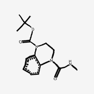 CNC(=O)N1CCN(C(=O)OC(C)(C)C)c2ccccc21